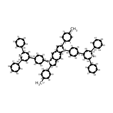 Cc1ccc(-c2cc3cc4c(cc(-c5ccc(C)cc5)n4-c4ccc(-c5cc(-c6ccccc6)nc(-c6ccccc6)c5)cc4)cc3n2-c2ccc(-c3cc(-c4ccccc4)nc(-c4ccccc4)c3)cc2)cc1